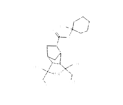 CCC(C)(C)C1C2CC(C(=O)OC3(C)CCCCC3)C(C2)C1C(C)(C)CC